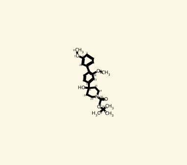 COc1cccc(-c2ccc(C3(O)CCN(C(=O)OC(C)(C)C)CC3)cc2OC)c1